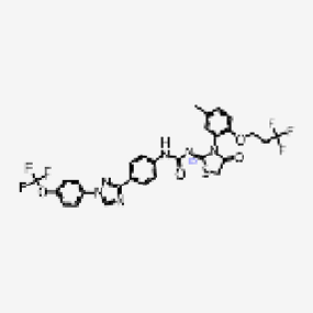 Cc1ccc(OCCC(F)(F)F)c(N2C(=O)CS/C2=N\C(=O)Nc2ccc(-c3ncn(-c4ccc(OC(F)(F)F)cc4)n3)cc2)c1